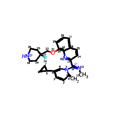 C=C1C=CC(C2CC2)=CN1/C(=N\C)c1ccc2cccc(OCC3(F)CCNCC3)c2n1